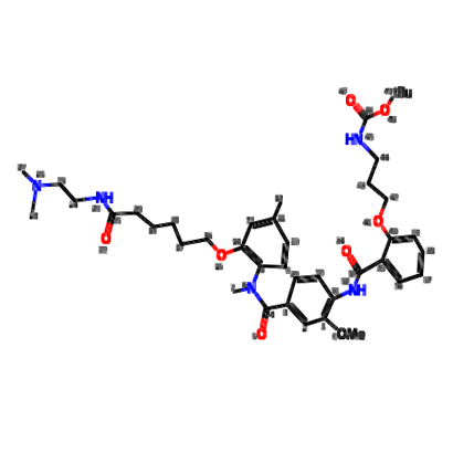 COc1cc(C(=O)N(C)c2ccc(C)cc2OCCCCCC(=O)NCCN(C)C)ccc1NC(=O)c1ccccc1OCCCNC(=O)OC(C)(C)C